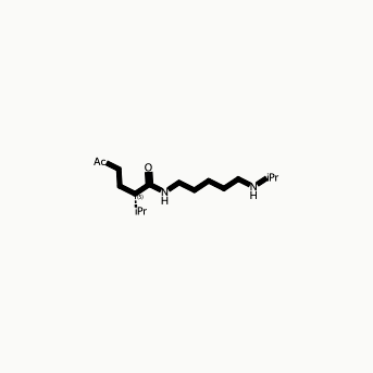 CC(=O)CC[C@H](C(=O)NCCCCCNC(C)C)C(C)C